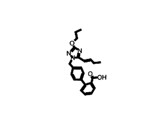 CCC=Cc1nc(OCCC)nn1Cc1ccc(-c2ccccc2C(=O)O)cc1